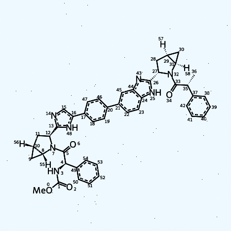 COC(=O)N[C@@H](C(=O)N1[C@@H]2C[C@@H]2C[C@H]1c1ncc(-c2ccc(-c3ccc4[nH]c([C@@H]5C[C@H]6C[C@H]6N5C(=O)[C@H](C)c5ccccc5)nc4c3)cc2)[nH]1)c1ccccc1